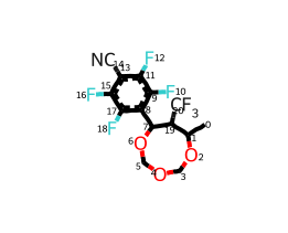 CC1OCOCOC(c2c(F)c(F)c(C#N)c(F)c2F)C1C(F)(F)F